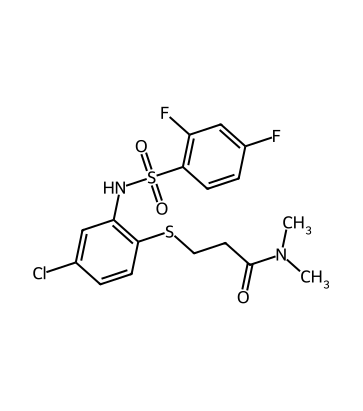 CN(C)C(=O)CCSc1ccc(Cl)cc1NS(=O)(=O)c1ccc(F)cc1F